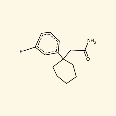 NC(=O)CC1(c2cccc(F)c2)CCCCC1